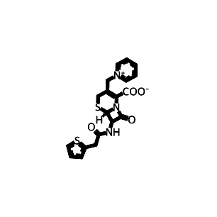 O=C(Cc1cccs1)NC1C(=O)N2C(C(=O)[O-])=C(C[n+]3ccccc3)CS[C@@H]12